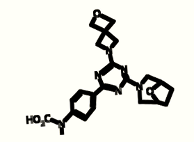 CN(C(=O)O)c1ccc(-c2nc(N3CC4CCC(C3)O4)nc(N3CC4(COC4)C3)n2)cc1